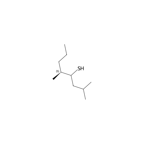 CCC[C@H](C)C(S)CC(C)C